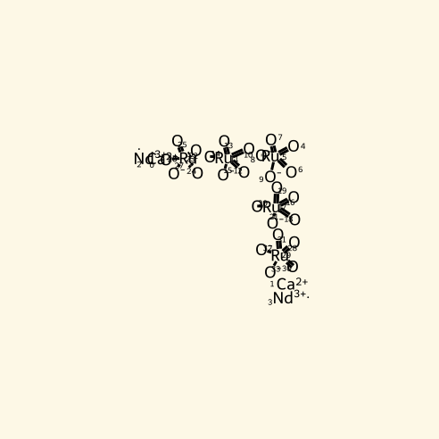 [Ca+2].[Ca+2].[Nd+3].[Nd+3].[O]=[Ru](=[O])(=[O])([O-])[O-].[O]=[Ru](=[O])(=[O])([O-])[O-].[O]=[Ru](=[O])(=[O])([O-])[O-].[O]=[Ru](=[O])(=[O])([O-])[O-].[O]=[Ru](=[O])(=[O])([O-])[O-]